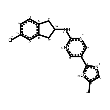 Cc1cnc(-c2cnc(NC3Cc4ccc(Cl)cc4C3)nc2)o1